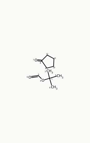 CC(C)(C)OC=O.O=C1CCCC1